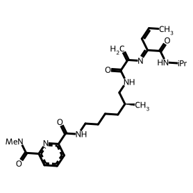 C=C(/N=C(\C=C/C)C(=O)NC(C)C)C(=O)NC[C@@H](C)CCCCNC(=O)c1cccc(C(=O)NC)n1